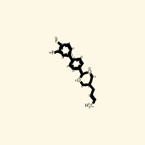 C/C=C/CC1COC(c2ccc(-c3ccc(F)c(F)c3)cc2)OC1